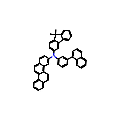 CC1(C)c2ccccc2-c2cc(N(c3cccc(-c4cccc5ccccc45)c3)c3ccc4ccc5c6ccccc6ccc5c4c3)ccc21